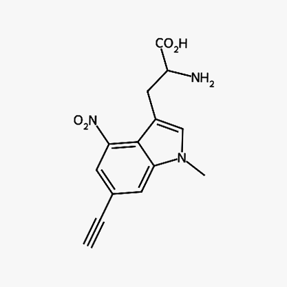 C#Cc1cc([N+](=O)[O-])c2c(CC(N)C(=O)O)cn(C)c2c1